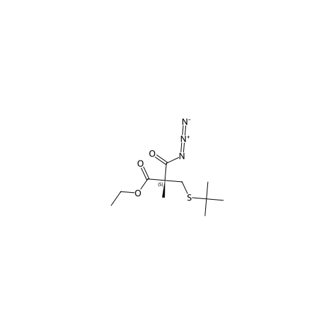 CCOC(=O)[C@@](C)(CSC(C)(C)C)C(=O)N=[N+]=[N-]